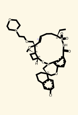 CC[C@@H]1CC/C=C/[C@@](COCCN2CCOCC2)(OC)[C@@H]2CC[C@H]2CN2C[C@@]3(CCCc4cc(Cl)ccc43)COc3ccc(cc32)C(=O)NS1(=O)=O